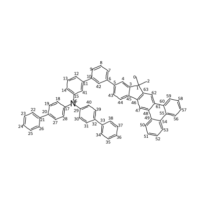 CC1(C)c2cc(-c3cccc(-c4cccc(N(c5ccc(-c6ccccc6)cc5)c5ccc(-c6ccccc6)cc5)c4)c3)ccc2-c2cc3c4ccccc4c4ccccc4c3cc21